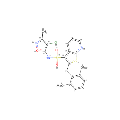 COc1cccc(OC)c1Cc1sc2ncccc2c1S(=O)(=O)Nc1onc(C)c1Cl